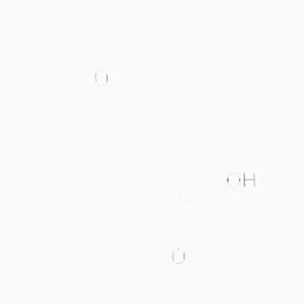 CC=C(C(=O)O)C(=O)CC